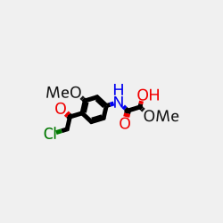 COc1cc(NC(=O)C(O)OC)ccc1C(=O)CCl